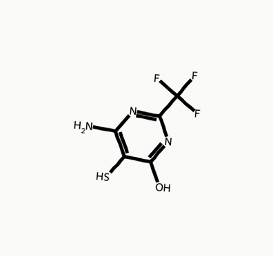 Nc1nc(C(F)(F)F)nc(O)c1S